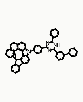 c1ccc(C2=NC(c3ccc(-n4c5ccc6c7c5c5c8c(cccc8ccc54)C7(c4ccccc4)c4ccccc4-6)cc3)=NC(c3cccc(-c4ccccc4)c3)N2)cc1